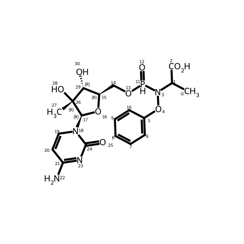 CC(C(=O)O)N(Oc1ccccc1)[PH](=O)OC[C@H]1O[C@@H](n2ccc(N)nc2=O)[C@](C)(O)[C@@H]1O